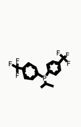 CC(C)P(c1ccc(C(F)(F)F)cc1)c1ccc(C(F)(F)F)cc1